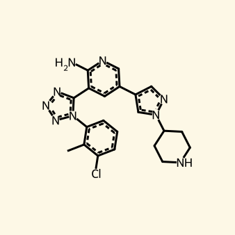 Cc1c(Cl)cccc1-n1nnnc1-c1cc(-c2cnn(C3CCNCC3)c2)cnc1N